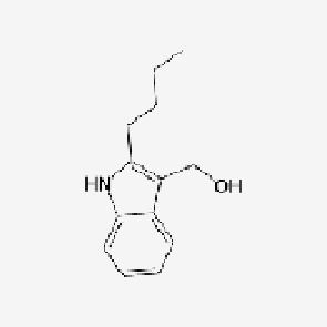 CCCCc1[nH]c2ccccc2c1CO